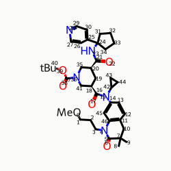 COCCCN1C(=O)C(C)(C)Cc2ccc(N(C(=O)[C@@H]3C[C@H](C(=O)NC4(c5ccncc5)CCCC4)CN(C(=O)OC(C)(C)C)C3)C3CC3)cc21